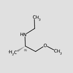 [CH2][C@@H](COC)NCC